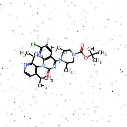 CC(C)c1ccnc(C(C)C)c1-n1c(=O)nc(N2C(C)CN(C(=O)OC(C)(C)C)C[C@@H]2C)c2cc(F)c(Cl)nc21